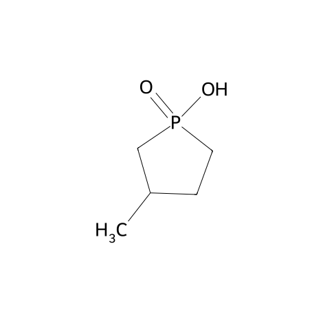 CC1CCP(=O)(O)C1